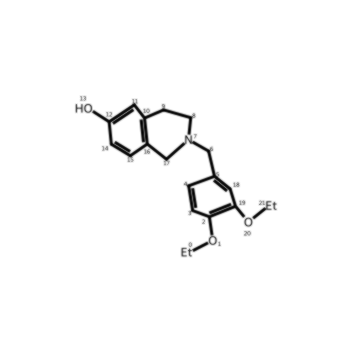 CCOc1ccc(CN2CCc3cc(O)ccc3C2)cc1OCC